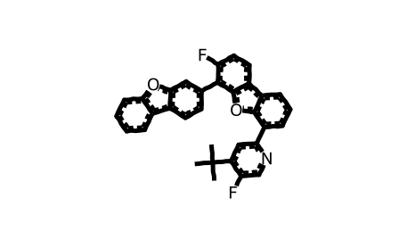 CC(C)(C)c1cc(-c2cccc3c2oc2c(-c4ccc5c(c4)oc4ccccc45)c(F)ccc23)ncc1F